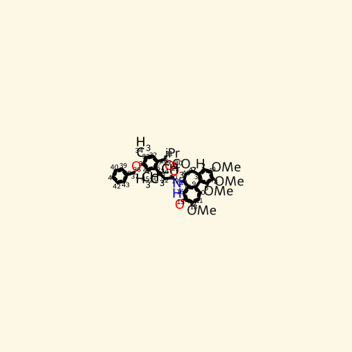 COc1cc2c(c(OC)c1OC)-c1ccc(OC)c(=O)cc1C(NC(=O)CC(C)(C)c1c(C(OC(=O)O)C(C)C)cc(C)c(OCc3ccccc3)c1C)CC2